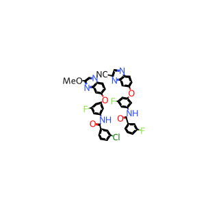 COc1cnc2ccc(Oc3cc(F)cc(NC(=O)c4cccc(Cl)c4)c3)cc2n1.N#Cc1cnc2ccc(Oc3cc(F)cc(NC(=O)c4cccc(F)c4)c3)cc2n1